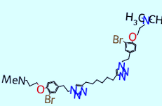 CNCCCOc1ccc(CCn2cc(CCCCCCc3cn(CCc4ccc(OCCCN(C)C)c(Br)c4)nn3)nn2)cc1Br